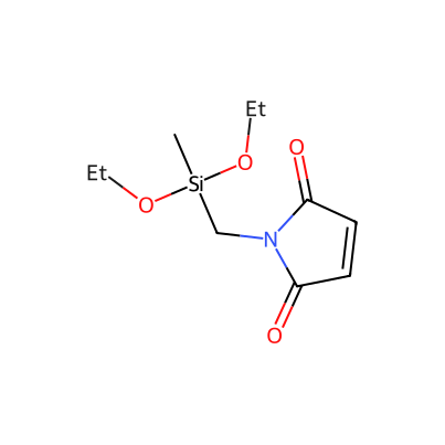 CCO[Si](C)(CN1C(=O)C=CC1=O)OCC